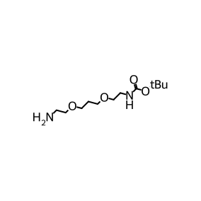 CC(C)(C)OC(=O)NCCOCCCOCCN